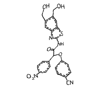 N#Cc1ccc(OC(C(=O)Nc2nc3cc(CO)c(CO)cc3s2)c2ccc([N+](=O)[O-])cc2)cc1